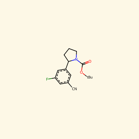 CC(C)(C)OC(=O)N1CCCC1c1cc(F)cc(C#N)c1